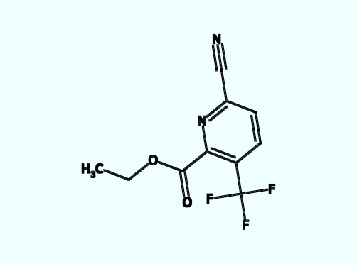 CCOC(=O)c1nc(C#N)ccc1C(F)(F)F